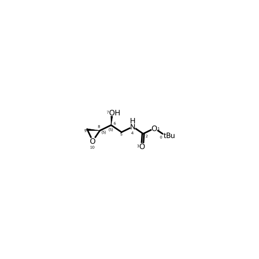 CC(C)(C)OC(=O)NC[C@H](O)[C@@H]1CO1